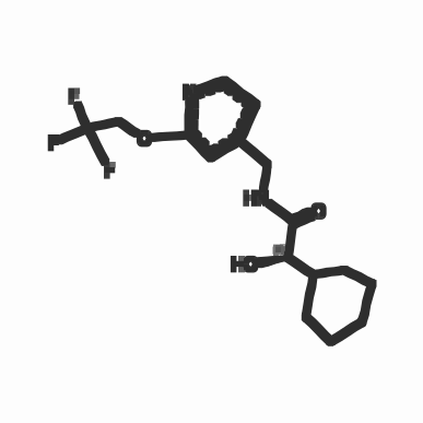 O=C(NCc1ccnc(OCC(F)(F)F)c1)[C@H](O)C1CCCCC1